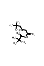 C=C(CNCC(C)(C)C)NC(=C)C(C)(C)C